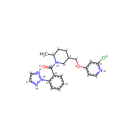 CC1CCC(COc2ccnc(Cl)c2)CN1C(=O)c1ccccc1-n1nccn1